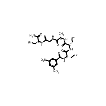 CC(C)C[C@H](NC(=O)CNC(=O)[C@H](C)NC(=O)[C@H](CC(C)C)NC(=O)[C@H](CC(C)C)NC(=O)c1cc([N+](=O)[O-])cc([N+](=O)[O-])c1)C(N)=O